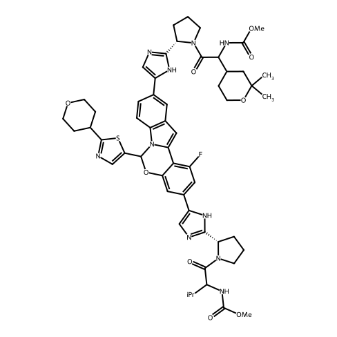 COC(=O)NC(C(=O)N1CCC[C@H]1c1ncc(-c2cc(F)c3c(c2)OC(c2cnc(C4CCOCC4)s2)n2c-3cc3cc(-c4cnc([C@@H]5CCCN5C(=O)C(NC(=O)OC)C5CCOC(C)(C)C5)[nH]4)ccc32)[nH]1)C(C)C